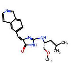 COC[C@@H](CC(C)C)NC1=N/C(=C\c2ccc3cnccc3c2)C(=O)N1